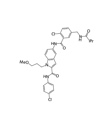 COCCCn1c(C(=O)Nc2ccc(Cl)cc2)cc2cc(NC(=O)c3cc(CNC(=O)C(C)C)ccc3Cl)ccc21